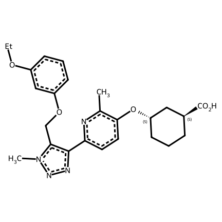 CCOc1cccc(OCc2c(-c3ccc(O[C@H]4CCC[C@H](C(=O)O)C4)c(C)n3)nnn2C)c1